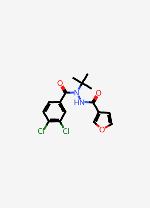 CC(C)(C)N(NC(=O)c1ccoc1)C(=O)c1ccc(Cl)c(Cl)c1